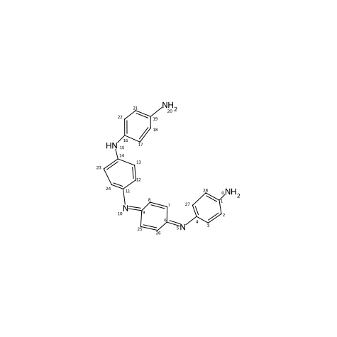 Nc1ccc(N=C2C=CC(=Nc3ccc(Nc4ccc(N)cc4)cc3)C=C2)cc1